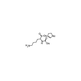 C1=CNCC1.NCCCCC(NC(=O)O)C(=O)O